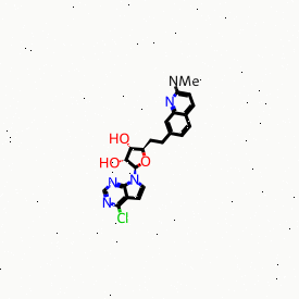 CNc1ccc2ccc(CC[C@H]3O[C@@H](n4ccc5c(Cl)ncnc54)[C@H](O)[C@@H]3O)cc2n1